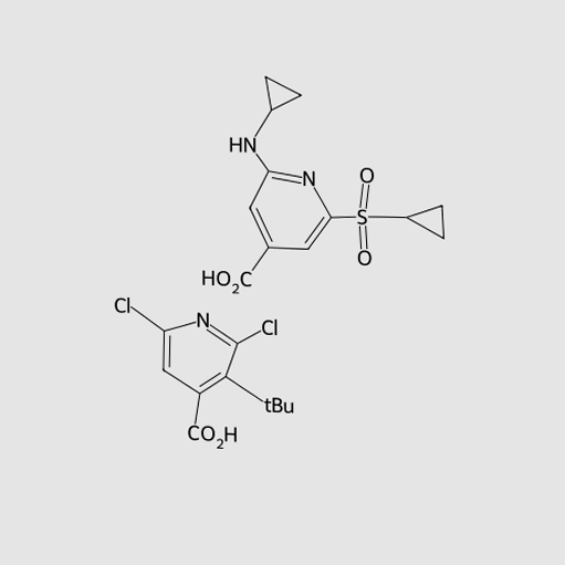 CC(C)(C)c1c(C(=O)O)cc(Cl)nc1Cl.O=C(O)c1cc(NC2CC2)nc(S(=O)(=O)C2CC2)c1